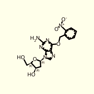 Nc1nc(OCc2ccccc2[N+](=O)[O-])c2ncn([C@H]3C[C@@H](O)[C@@H](CO)O3)c2n1